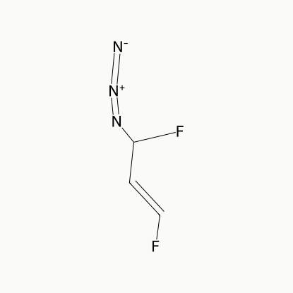 [N-]=[N+]=NC(F)C=CF